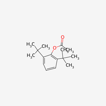 CC(=O)Oc1c(C(C)(C)C)cccc1C(C)(C)C